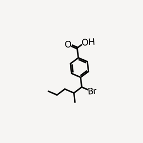 CCCC(C)C(Br)c1ccc(C(=O)O)cc1